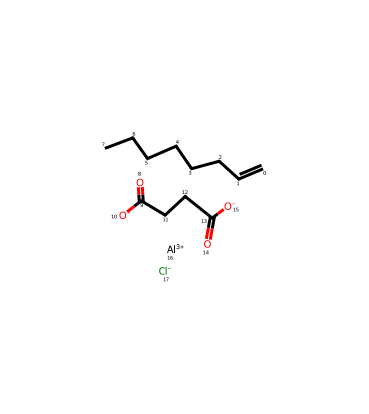 C=CCCCCCC.O=C([O-])CCC(=O)[O-].[Al+3].[Cl-]